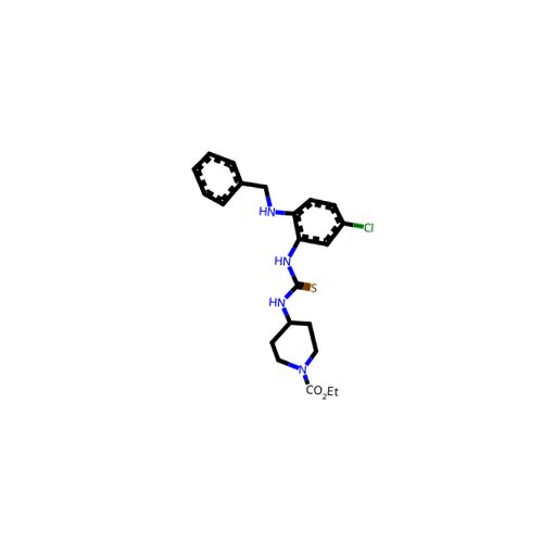 CCOC(=O)N1CCC(NC(=S)Nc2cc(Cl)ccc2NCc2ccccc2)CC1